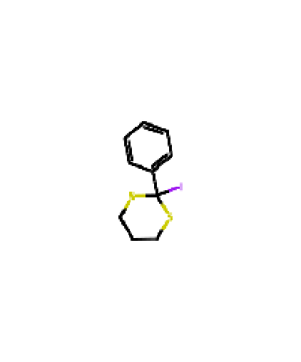 IC1(c2ccccc2)SCCCS1